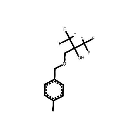 Cc1ccc(COCC(O)(C(F)(F)F)C(F)(F)F)cc1